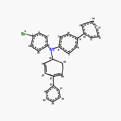 Brc1ccc(N(c2ccc(-c3ccccc3)cc2)C2C=CC(c3ccccc3)=CC2)cc1